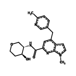 Cc1ccc(Cc2cc(C(=O)N[C@H]3COCC[C@@H]3O)nc3c2ccn3C)cn1